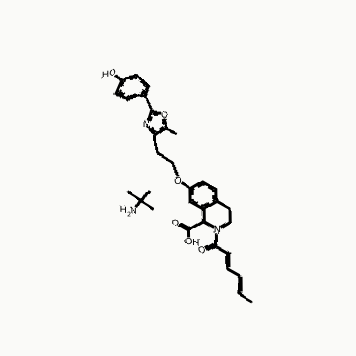 CC(C)(C)N.CC=CC=CC(=O)N1CCc2ccc(OCCc3nc(-c4ccc(O)cc4)oc3C)cc2C1C(=O)O